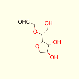 O=CCO[C@H](CO)[C@H]1OC[C@H](O)[C@H]1O